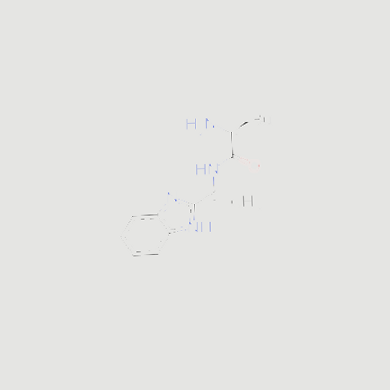 CCC(C)[C@H](N)C(=O)N[C@H](C)c1nc2ccccc2[nH]1